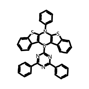 c1ccc(-c2nc(B3c4c(sc5ccccc45)N(c4ccccc4)c4sc5ccccc5c43)nc(-c3ccccc3)n2)cc1